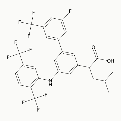 CC(C)CC(C(=O)O)c1cc(Nc2cc(C(F)(F)F)ccc2C(F)(F)F)cc(-c2cc(F)cc(C(F)(F)F)c2)c1